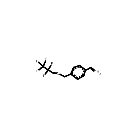 C=Cc1ccc(COCC(F)(F)C(F)(F)F)cc1